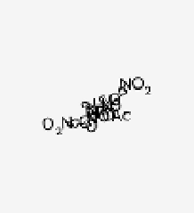 CC(=O)OC(c1cn(C(=O)OCc2ccc([N+](=O)[O-])cc2)c(Cc2ccccc2)n1)C1(Br)C(=O)N2C(C(=O)OCc3ccc([N+](=O)[O-])cc3)=CS[C@@H]21